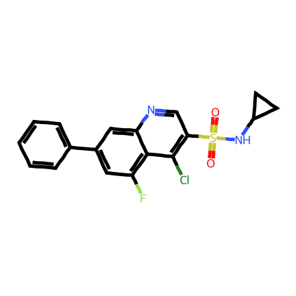 O=S(=O)(NC1CC1)c1cnc2cc(-c3ccccc3)cc(F)c2c1Cl